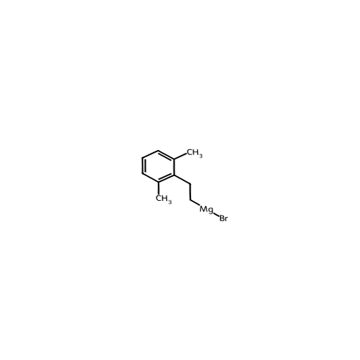 Cc1cccc(C)c1C[CH2][Mg][Br]